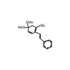 CCCCC1=C(C=Cc2ccccc2)C=CC(OC)(OC)C1